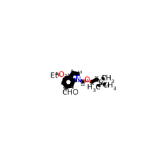 CCOc1cc(C=O)cc2c1ccn2COCC[Si](C)(C)C